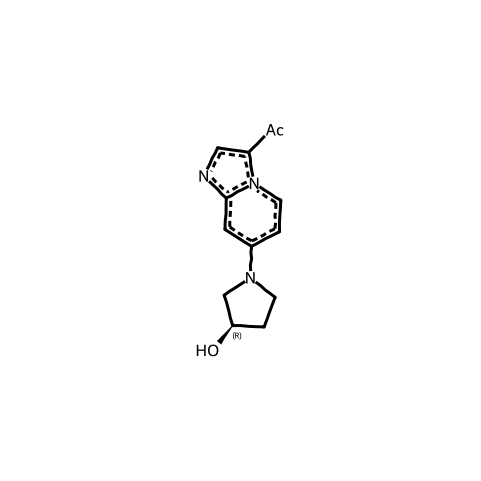 CC(=O)c1cnc2cc(N3CC[C@@H](O)C3)ccn12